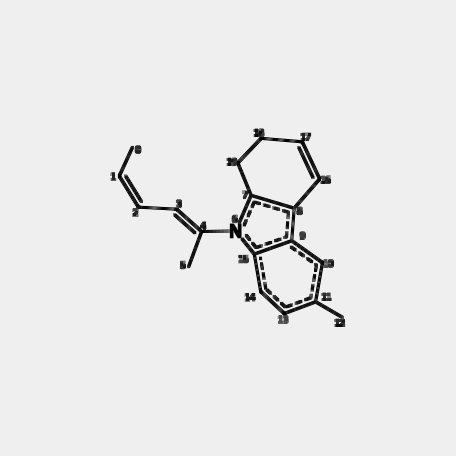 C/C=C\C=C(/C)n1c2c(c3cc(C)ccc31)C=CCC2